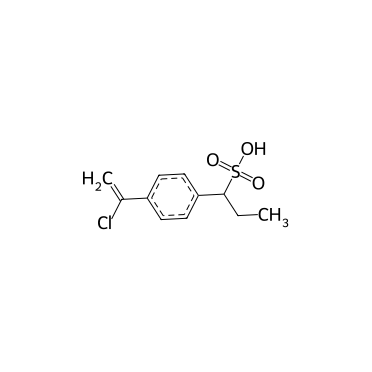 C=C(Cl)c1ccc(C(CC)S(=O)(=O)O)cc1